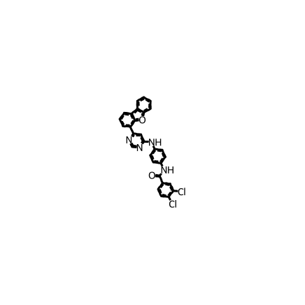 O=C(Nc1ccc(Nc2cc(-c3cccc4c3oc3ccccc34)ncn2)cc1)c1ccc(Cl)c(Cl)c1